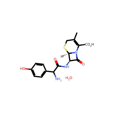 CC1=C(C(=O)O)N2C(=O)[C@@H](NC(=O)C(N)c3ccc(O)cc3)[C@H]2SC1.O